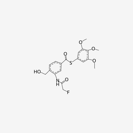 COc1cc(SC(=O)c2ccc(CO)c(NC(=O)CF)c2)cc(OC)c1OC